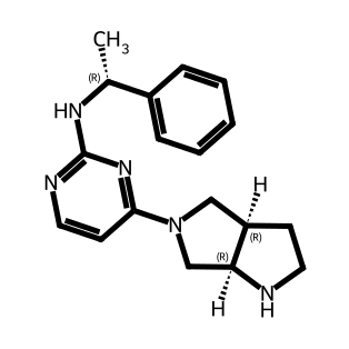 C[C@@H](Nc1nccc(N2C[C@H]3CCN[C@H]3C2)n1)c1ccccc1